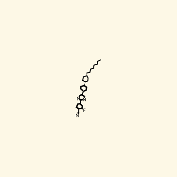 CCCCCCCC[C@H]1CC[C@H](c2ccc(-c3cnc(-c4ccc(C#N)c(F)c4)nc3)cc2)CC1